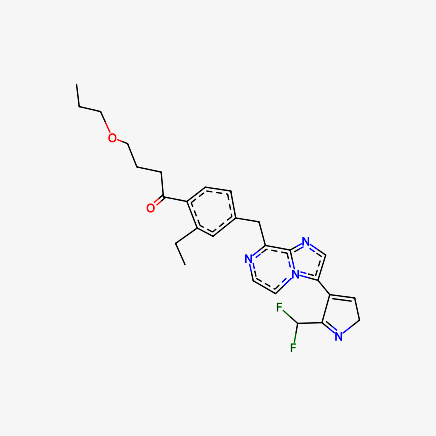 CCCOCCCC(=O)c1ccc(Cc2nccn3c(C4=CCN=C4C(F)F)cnc23)cc1CC